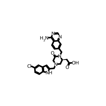 Nc1ncnc2cc(CN3C(=O)CN(Cc4cc5cc(Cl)ccc5[nH]4)C[C@@H]3CC(=O)O)ccc12